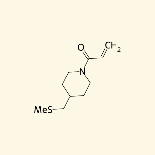 C=CC(=O)N1CCC(CSC)CC1